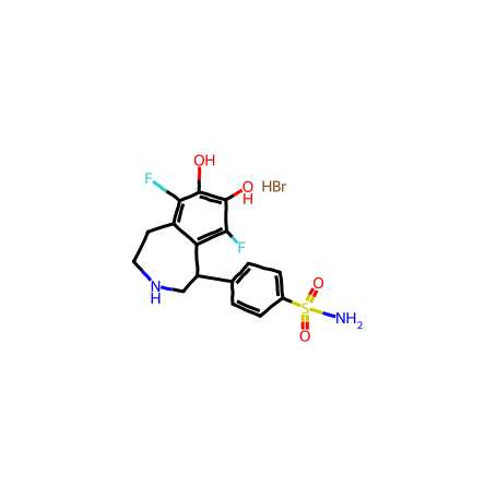 Br.NS(=O)(=O)c1ccc(C2CNCCc3c(F)c(O)c(O)c(F)c32)cc1